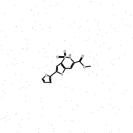 COC(=O)C1=Cc2sc(-c3ccco3)cc2S(=O)(=O)N1